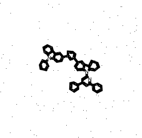 c1ccc(-c2cc(-c3ccccc3)nc(-n3c4ccccc4c4cc(-c5cccc(-c6ccc7c(c6)c6ccccc6n7-c6ccccc6)c5)ccc43)c2)cc1